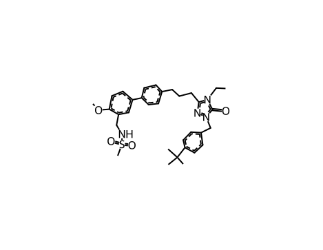 CCn1c(CCCc2ccc(-c3ccc(OC)c(CNS(C)(=O)=O)c3)cc2)nn(Cc2ccc(C(C)(C)C)cc2)c1=O